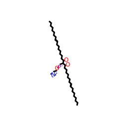 CCCCCCCCC=CCCCCCCCC(=O)C(C[P-]OCC[N+](C)(C)C)C(=O)CCCCCCCC=CCCCCCCCC